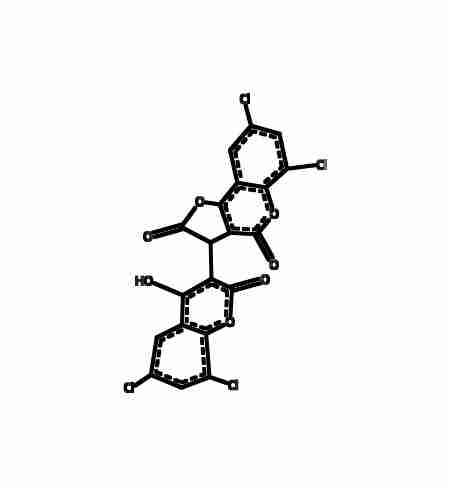 O=C1Oc2c(c(=O)oc3c(Cl)cc(Cl)cc23)C1c1c(O)c2cc(Cl)cc(Cl)c2oc1=O